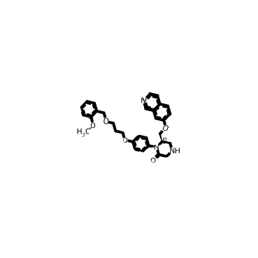 COc1ccccc1COCCCOc1ccc(N2C(=O)CNC[C@@H]2COc2ccc3ccncc3c2)cc1